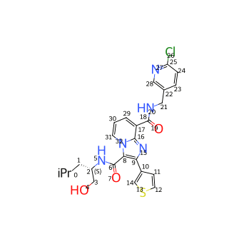 CC(C)C[C@@H](CO)NC(=O)c1c(-c2ccsc2)nc2c(C(=O)NCc3ccc(Cl)nc3)cccn12